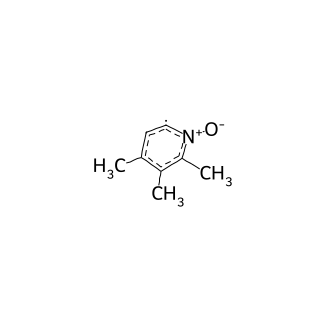 Cc1c[c][n+]([O-])c(C)c1C